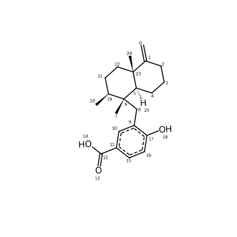 C=C1CCC[C@H]2[C@](C)(Cc3cc(C(=O)O)ccc3O)[C@@H](C)CC[C@]12C